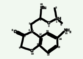 C[SiH](C)OC(CN1C(=O)COc2ccc(N)cc21)C(C)(C)C